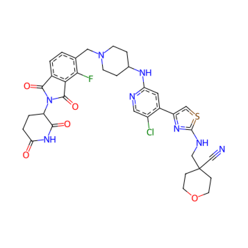 N#CC1(CNc2nc(-c3cc(NC4CCN(Cc5ccc6c(c5F)C(=O)N(C5CCC(=O)NC5=O)C6=O)CC4)ncc3Cl)cs2)CCOCC1